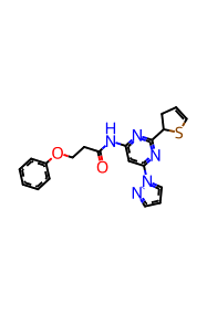 O=C(CCOc1ccccc1)Nc1cc(-n2cccn2)nc(C2CC=CS2)n1